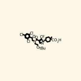 CC(C)(C)OCCN(CC(=O)c1c(Cl)cc(Cl)cc1Cl)C(=O)c1cnn(C2CCC(C)(C(=O)O)CC2)c1C(F)(F)F